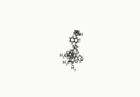 C[C@@H](C(=O)N[C@H](C(=O)N1CCC[C@H]1c1nc(-c2ccc(-c3nnn[nH]3)c3ccccc23)cs1)C1CCOCC1)N(C)C(=O)OC(C)(C)C